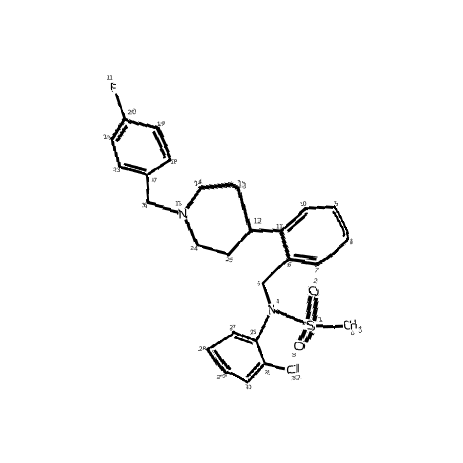 CS(=O)(=O)N(Cc1ccccc1C1CCN(Cc2ccc(F)cc2)CC1)c1ccccc1Cl